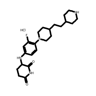 Cl.O=C1CCC(Nc2ccc(N3CCC(CCC4CCNCC4)CC3)c(F)c2)C(=O)N1